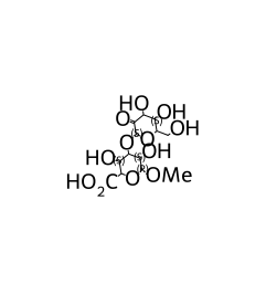 CO[C@@H]1OC(C(=O)O)[C@@H](O)C(O[C@@H]2OC(CO)[C@@H](O)C(O)C2=O)[C@@H]1O